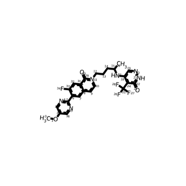 COc1cnc(-c2cc3ccn(CCCC(C)Nc4cn[nH]c(=O)c4C(F)(F)F)c(=O)c3cc2F)nc1